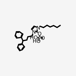 CCCCCCCN1C=CN(CCCC(c2ccccc2)c2ccccc2)C1OP(=O)(O)O